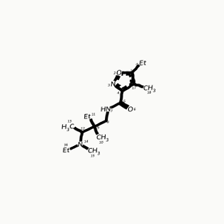 CCc1onc(C(=O)NCC(C)(CC)C(C)N(C)CC)c1C